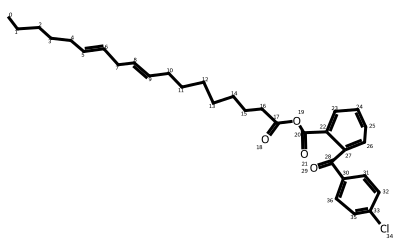 CCCCC/C=C/C/C=C/CCCCCCCC(=O)OC(=O)c1ccccc1C(=O)c1ccc(Cl)cc1